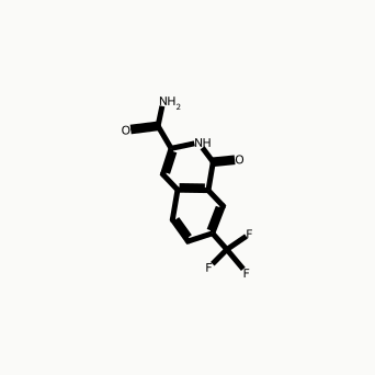 NC(=O)c1cc2ccc(C(F)(F)F)cc2c(=O)[nH]1